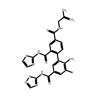 C=C(C)CNC(=O)c1ccc(-c2cc(C(=O)Nc3ncns3)cc(F)c2C)c(C(=O)Nc2nccs2)c1